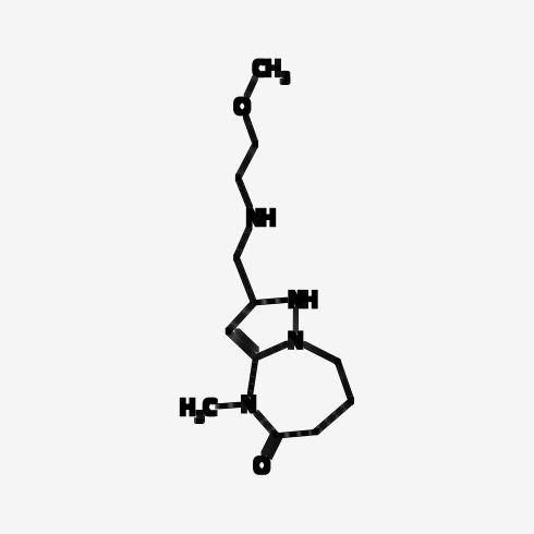 COCCNCC1C=C2N(CCCC(=O)N2C)N1